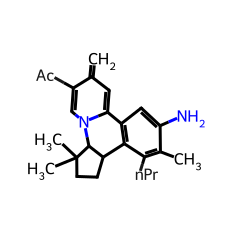 C=C1C=C2c3cc(N)c(C)c(CCC)c3C3CCC(C)(C)C3N2C=C1C(C)=O